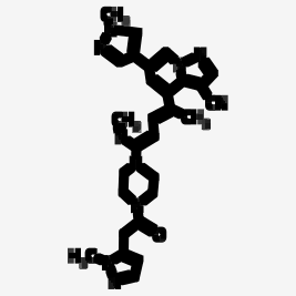 C=N/C(=C\C=C(/C)c1cc(-c2cnn(C)c2)cn2ncc(C#N)c12)N1CCN(C(=O)Cc2ccnn2C)CC1